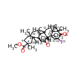 COC(=O)[C@@]1(C)CC[C@]2(C)CC[C@]3(C)C(=CC(=O)[C@@H]4[C@@]5(C)C=C(I)C(=O)C(C)(C)[C@@H]5CC[C@]43C)[C@@H]2C1